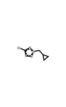 CCc1nnn(CC2CC2)n1